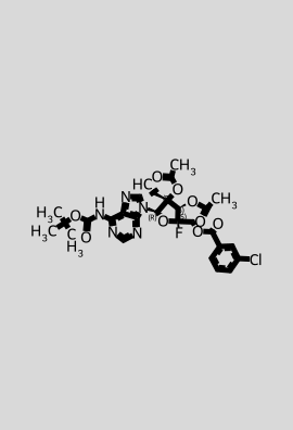 C#C[C@]1(OC(C)=O)[C@H](n2cnc3c(NC(=O)OC(C)(C)C)ncnc32)O[C@](F)(COC(=O)c2cccc(Cl)c2)[C@H]1OC(C)=O